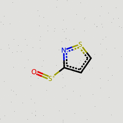 O=[S+]c1ccsn1